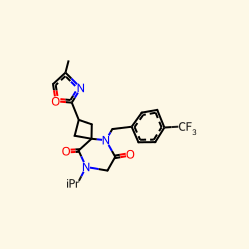 Cc1coc(C2CC3(C2)C(=O)N(C(C)C)CC(=O)N3Cc2ccc(C(F)(F)F)cc2)n1